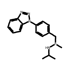 CC(C)NP(C)Cc1ccc(-n2nnc3ccccc32)cc1